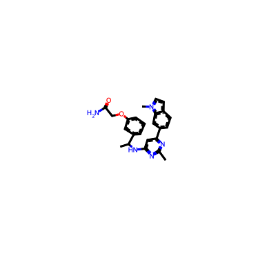 Cc1nc(NC(C)c2cccc(OCC(N)=O)c2)cc(-c2ccc3ccn(C)c3c2)n1